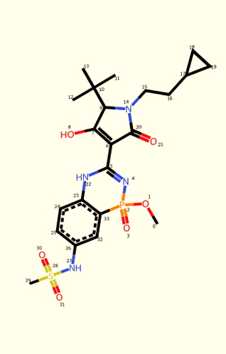 COP1(=O)N=C(C2=C(O)C(C(C)(C)C)N(CCC3CC3)C2=O)Nc2ccc(NS(C)(=O)=O)cc21